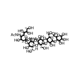 CC(=O)N[C@H]1[C@H](O[C@H]2[C@@H](O)[C@@H](CO)O[C@H](O[C@@H]3[C@H](O)[C@@H](O)[C@H](O[C@H]4[C@H](O)[C@@H](O)[C@H](O)O[C@@H]4CO)O[C@@H]3CO)[C@@H]2O)O[C@H](CO)[C@H](O)[C@@H]1O[C@]1(C(=O)O)C[C@H](O)[C@@H](NC(C)=O)[C@H]([C@H](O)[C@H](O)CO)O1